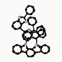 c1ccc(-c2nc(-c3cccc4nc(-c5ccccc5)oc34)nc(-n3c4ccccc4c4ccc5c6ccccc6n(-c6c7ccccc7c(-c7ccccc7)c7ccccc67)c5c43)n2)cc1